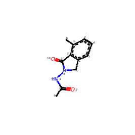 CC(=O)NN1Cc2cccc(C)c2C1=O